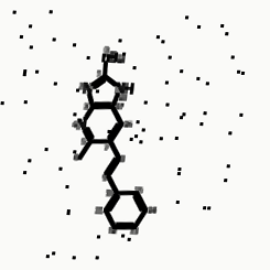 CCCCc1nc2nc(C)c(/C=C/c3ccccc3)cc2[nH]1